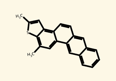 Cc1cc2c(s1)c(C)cc1c3cc4ccccc4cc3ccc21